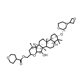 C[C@@H]1CC(COC(=O)C2CCOCC2)OC2[C@H]1[C@@]1(C)CC[C@@]34C[C@@]35CC[C@H](O[C@H]3CN(C6COC6)CCO3)C(C)(C)[C@@H]5CCC4[C@]1(C)[C@H]2O